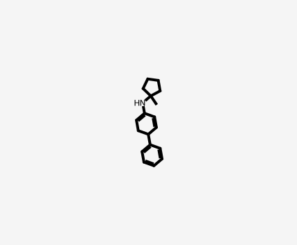 CC1(NC2=CCC(c3ccccc3)C=C2)CCCC1